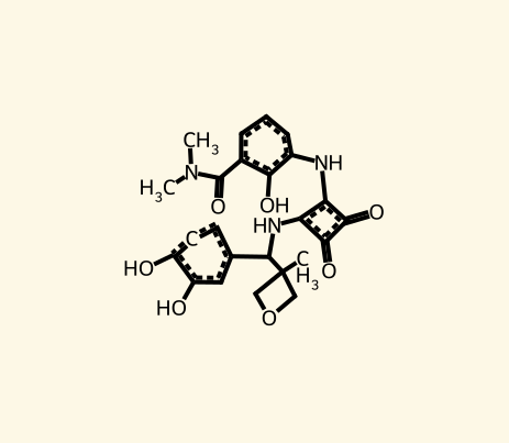 CN(C)C(=O)c1cccc(Nc2c(NC(c3ccc(O)c(O)c3)C3(C)COC3)c(=O)c2=O)c1O